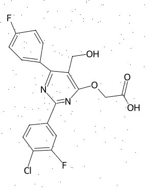 O=C(O)COc1nc(-c2ccc(Cl)c(F)c2)nc(-c2ccc(F)cc2)c1CO